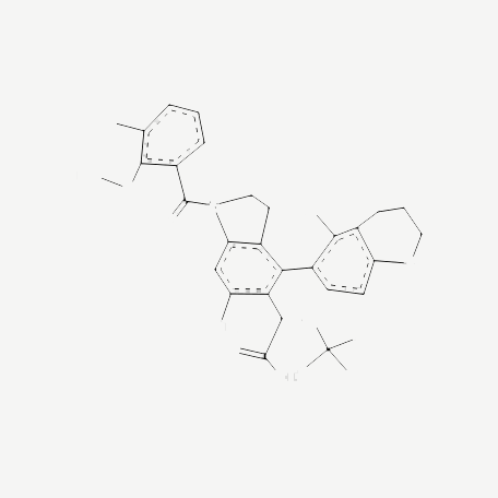 COc1c(F)cccc1C(=O)N1CCc2c1cc(C)c([C@H](OC(C)(C)C)C(=O)O)c2-c1ccc2c(c1C)CCCO2